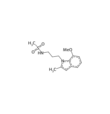 COc1cccc2cc(C)n(CCCNS(C)(=O)=O)c12